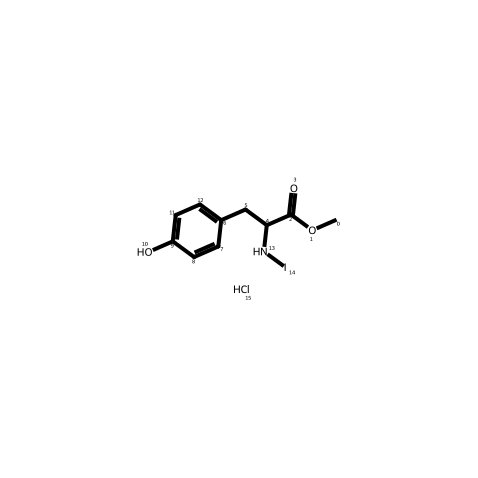 COC(=O)C(Cc1ccc(O)cc1)NI.Cl